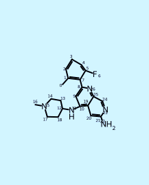 Cc1cccc(F)c1-c1cc(NC2CCN(C)CC2)c2cc(N)ncc2n1